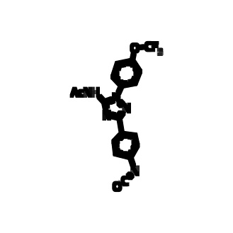 CC(=O)Nc1nc(-c2ccc(N=C=O)cc2)nn1-c1ccc(OC(F)(F)F)cc1